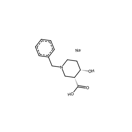 O=C(O)[C@@H]1CN(Cc2ccccc2)CC[C@@H]1O.[Na]